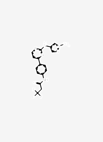 Cn1cc(Nc2nccc(-c3ccc(NC(=O)CC(F)(F)F)cc3)n2)cn1